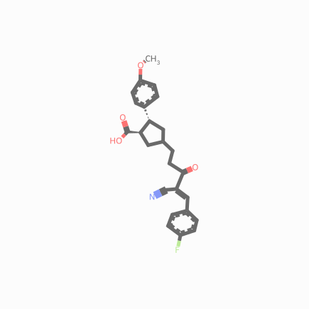 COc1ccc([C@@H]2CC(CCC(=O)/C(C#N)=C/c3ccc(F)cc3)C[C@H]2C(=O)O)cc1